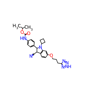 CC(C)OC(=O)Nc1ccc(C2C(C#N)c3ccc(OCCCc4nn[nH]n4)cc3N2C2CCC2)cc1